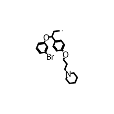 [CH2]CC(Oc1cccc(Br)c1)c1ccc(OCCCN2CCCCC2)cc1